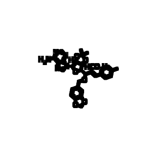 Cc1ccc(C=C(C(=O)O)C(OCc2ccc3c(c2)OCO3)[C@H]2O[C@@H](n3cnc4c(N)ncnc43)[C@@H]3OC(C)(C)O[C@@H]32)cc1